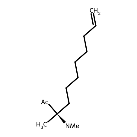 C=CCCCCCC[C@@](C)(NC)C(C)=O